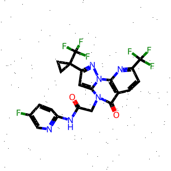 O=C(Cn1c(=O)c2ccc(C(F)(F)F)nc2n2nc(C3(C(F)(F)F)CC3)cc12)Nc1ccc(F)cn1